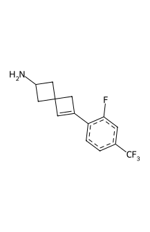 NC1CC2(C=C(c3ccc(C(F)(F)F)cc3F)C2)C1